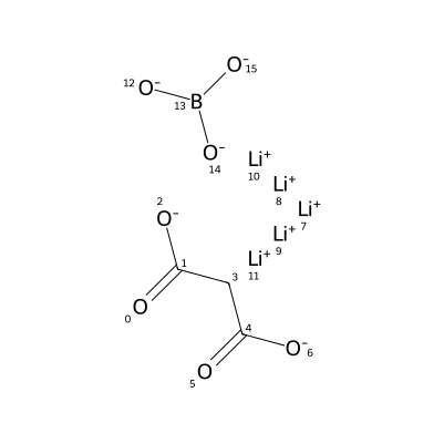 O=C([O-])CC(=O)[O-].[Li+].[Li+].[Li+].[Li+].[Li+].[O-]B([O-])[O-]